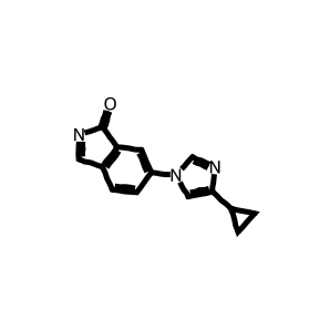 O=C1N=Cc2ccc(-n3cnc(C4CC4)c3)cc21